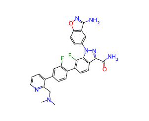 CN(C)Cc1ncccc1-c1ccc(-c2ccc3c(C(N)=O)nn(-c4ccc5onc(N)c5c4)c3c2F)c(F)c1